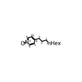 CCCCCCCCCc1cc[n+]([O-])cc1